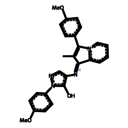 COc1ccc(C2=C(C)/C(=N\c3cnn(-c4ccc(OC)cc4)c3O)c3cccc[n+]32)cc1